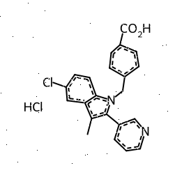 Cc1c(-c2cccnc2)n(Cc2ccc(C(=O)O)cc2)c2ccc(Cl)cc12.Cl